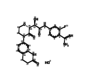 Cl.N=C(N)c1ccc(NC(=O)[C@H](O)[C@H]2OCCN(c3ccc4c(c3)NC(=O)CC4)C2=O)cc1F